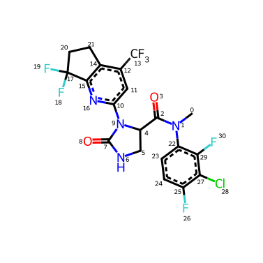 CN(C(=O)C1CNC(=O)N1c1cc(C(F)(F)F)c2c(n1)C(F)(F)CC2)c1ccc(F)c(Cl)c1F